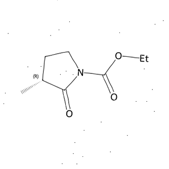 CCOC(=O)N1CC[C@@H](C)C1=O